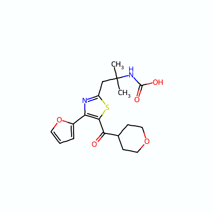 CC(C)(Cc1nc(-c2ccco2)c(C(=O)C2CCOCC2)s1)NC(=O)O